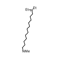 CCN(CC)CCCCCCCCCCCCNC